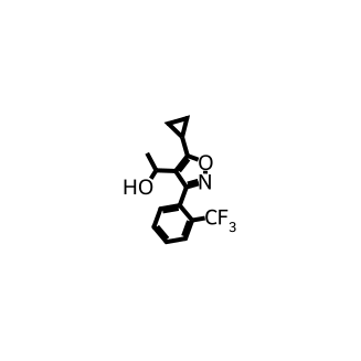 CC(O)c1c(-c2ccccc2C(F)(F)F)noc1C1CC1